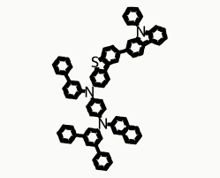 c1ccc(-c2cccc(N(c3ccc(N(c4cc(-c5ccccc5)cc(-c5ccccc5)c4)c4ccc5ccccc5c4)cc3)c3ccc4c(c3)sc3ccc(-c5ccc6c7ccccc7n(-c7ccccc7)c6c5)cc34)c2)cc1